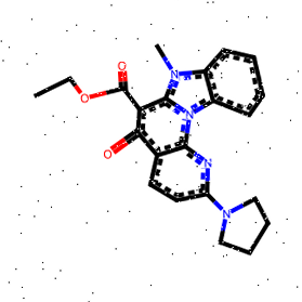 CCOC(=O)c1c(=O)c2ccc(N3CCCC3)nc2n2c3ccccc3n(C)c12